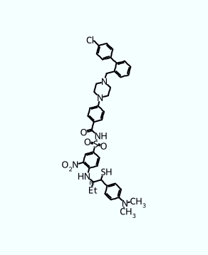 CC[C@@H](Nc1ccc(S(=O)(=O)NC(=O)c2ccc(N3CCN(Cc4ccccc4-c4ccc(Cl)cc4)CC3)cc2)cc1[N+](=O)[O-])C(S)c1ccc(N(C)C)cc1